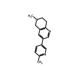 Cc1ccc(-c2cnc3c(c2)CN(C)CC3)cn1